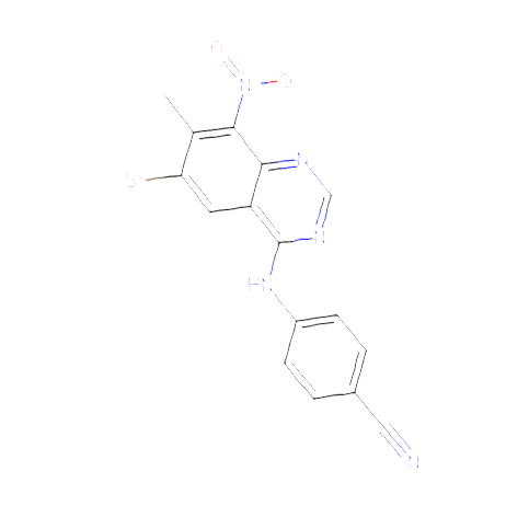 Cc1c(Br)cc2c(Nc3ccc(C#N)cc3)ncnc2c1[N+](=O)[O-]